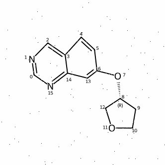 c1ncc2ccc(O[C@@H]3CCOC3)cc2n1